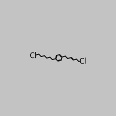 ClCC/C=C/CCc1ccc(CCCCCCCl)cc1